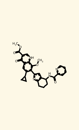 COC(=O)c1c[nH]c2c(OC)c(-c3cc4c(s3)CCCC4NC(=O)c3ccccn3)c(C3CC3)cc2c1=O